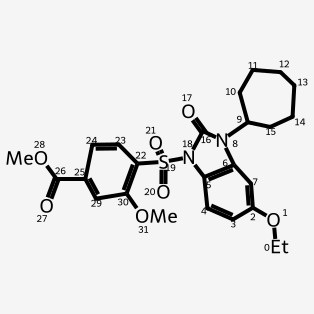 CCOc1ccc2c(c1)n(C1CCCCCC1)c(=O)n2S(=O)(=O)c1ccc(C(=O)OC)cc1OC